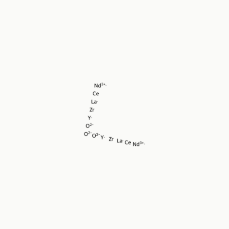 [Ce].[Ce].[La].[La].[Nd+3].[Nd+3].[O-2].[O-2].[O-2].[Y].[Y].[Zr].[Zr]